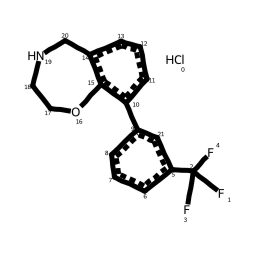 Cl.FC(F)(F)c1cccc(-c2cccc3c2OCCNC3)c1